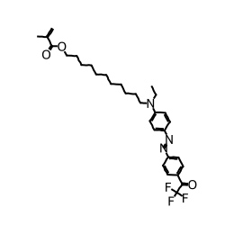 C=C(C)C(=O)OCCCCCCCCCCCN(CC)c1ccc(N=Nc2ccc(C(=O)C(F)(F)F)cc2)cc1